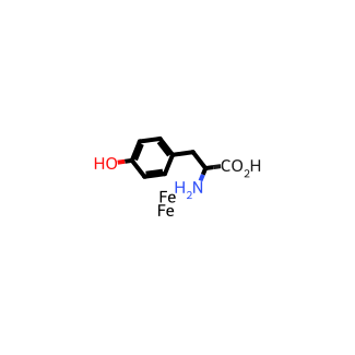 NC(Cc1ccc(O)cc1)C(=O)O.[Fe].[Fe]